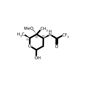 CO[C@]1(C)[C@@H](NC(=O)C(F)(F)F)CC(O)O[C@H]1C